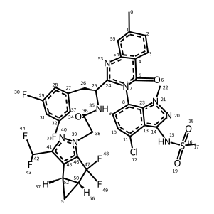 Cc1ccc2c(=O)n(-c3ccc(Cl)c4c(NS(C)(=O)=O)nn(C)c34)c([C@H](Cc3cc(F)cc(F)c3)NC(=O)Cn3nc(C(F)F)c4c3C(F)(F)[C@@H]3C[C@H]43)nc2c1